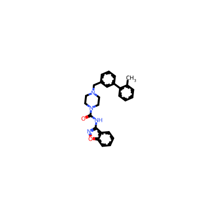 Cc1ccccc1-c1cccc(CN2CCN(C(=O)Nc3noc4ccccc34)CC2)c1